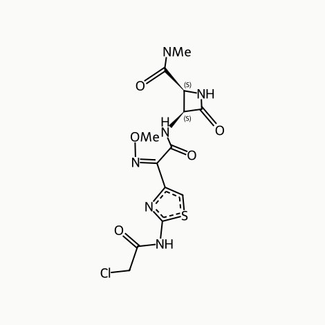 CNC(=O)[C@H]1NC(=O)[C@H]1NC(=O)C(=NOC)c1csc(NC(=O)CCl)n1